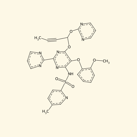 CC#CC(Oc1ncccn1)Oc1nc(-c2ncccn2)nc(NS(=O)(=O)c2ccc(C)cn2)c1Oc1ccccc1OC